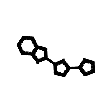 c1csc(-c2ccc(-c3cc4ccccc4s3)s2)c1